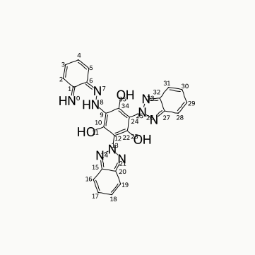 N=C1C=CC=C/C1=N/Nc1c(O)c(-n2nc3ccccc3n2)c(O)c(-n2nc3ccccc3n2)c1O